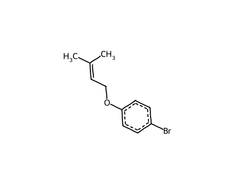 CC(C)=CCOc1ccc(Br)cc1